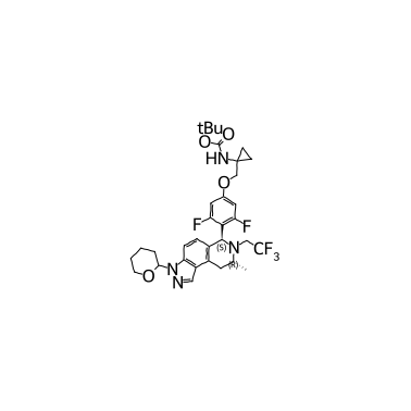 C[C@@H]1Cc2c(ccc3c2cnn3C2CCCCO2)[C@@H](c2c(F)cc(OCC3(NC(=O)OC(C)(C)C)CC3)cc2F)N1CC(F)(F)F